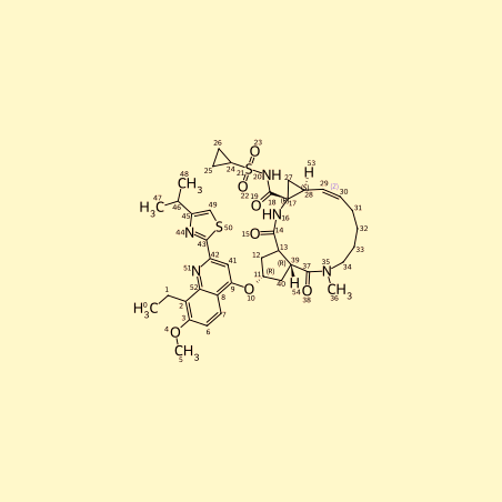 CCc1c(OC)ccc2c(O[C@@H]3CC4C(=O)N[C@]5(C(=O)NS(=O)(=O)C6CC6)C[C@H]5/C=C\CCCCN(C)C(=O)[C@@H]4C3)cc(-c3nc(C(C)C)cs3)nc12